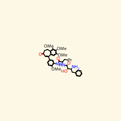 COc1ccc(C2=CC(=O)CCc3c2cc(OC)c(OC)c3OC)cc1NC(=O)C(CC(C)C)NC(=O)C(O)C(N)Cc1ccccc1